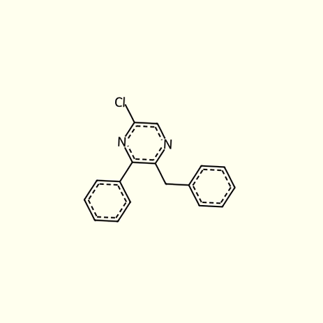 Clc1cnc(Cc2ccccc2)c(-c2ccccc2)n1